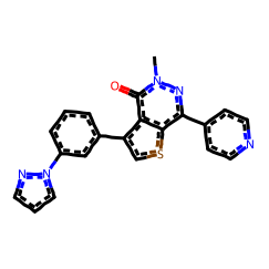 Cn1nc(-c2ccncc2)c2scc(-c3cccc(-n4cccn4)c3)c2c1=O